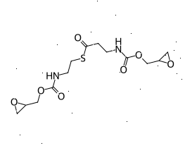 O=C(NCCSC(=O)CCNC(=O)OCC1CO1)OCC1CO1